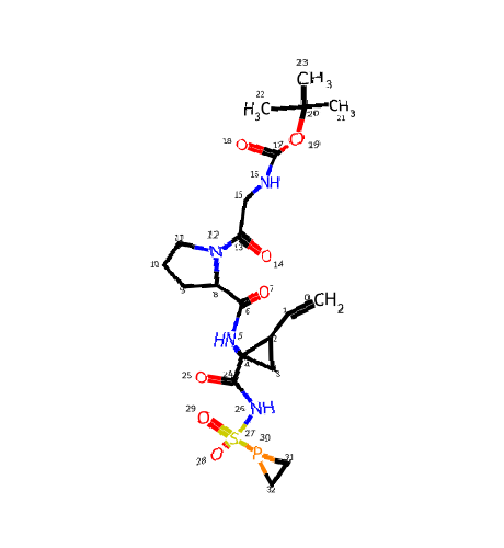 C=CC1CC1(NC(=O)C1CCCN1C(=O)CNC(=O)OC(C)(C)C)C(=O)NS(=O)(=O)P1CC1